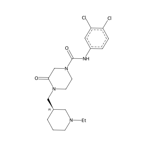 CCN1CCC[C@@H](CN2CCN(C(=O)Nc3ccc(Cl)c(Cl)c3)CC2=O)C1